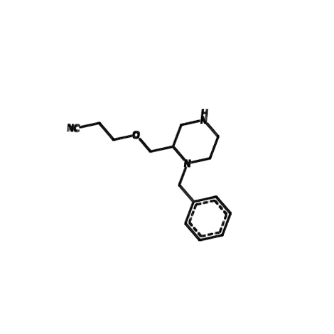 N#CCCOCC1CNCCN1Cc1ccccc1